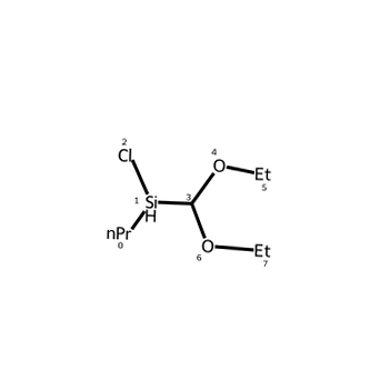 CCC[SiH](Cl)C(OCC)OCC